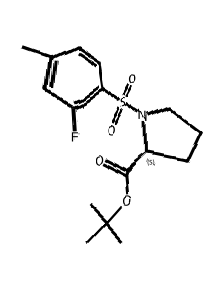 Cc1ccc(S(=O)(=O)N2CCC[C@H]2C(=O)OC(C)(C)C)c(F)c1